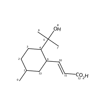 CC1CCC(C(C)(C)O)C(C=CC(=O)O)C1